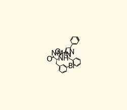 CNC(=O)[C@H](Cc1cccc(Br)c1)NC(=O)c1cc(-c2cc#ccc2)nn1Cc1ccccc1